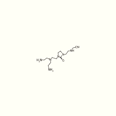 N#CCNCCN1CCN(CCN(CCN)CCN)C1=O